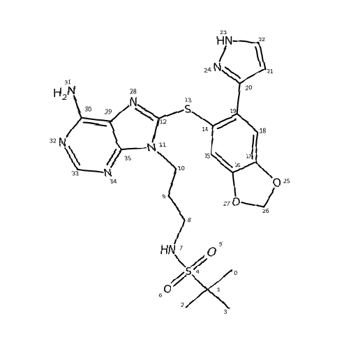 CC(C)(C)S(=O)(=O)NCCCn1c(Sc2cc3c(cc2-c2cc[nH]n2)OCO3)nc2c(N)ncnc21